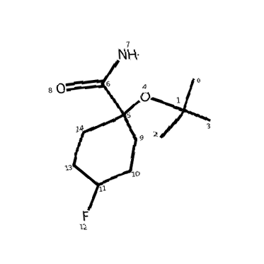 CC(C)(C)OC1(C([NH])=O)CCC(F)CC1